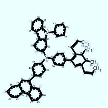 C/C=C\C1=CC(c2ccc(N(c3ccc(-c4cc5ccccc5c5ccccc45)cc3)c3ccc4c5ccccc5n(-c5ccccc5)c4c3)cc2)=C(/C=C\C)C(C)C1C